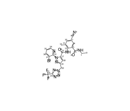 CCNC(=O)c1cc(C#N)cc(C)c1NC(=O)c1cc(Cn2nnc(C(F)(F)F)n2)nn1-c1ncccc1Br